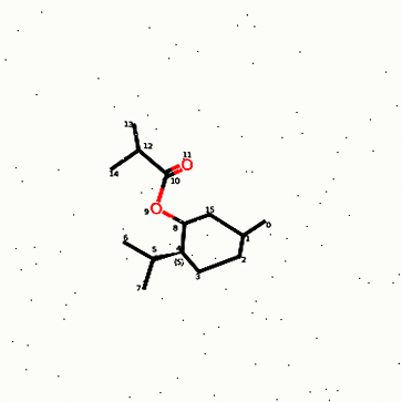 CC1CC[C@@H](C(C)C)C(OC(=O)C(C)C)C1